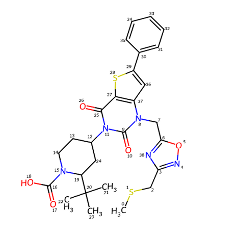 CSCc1noc(Cn2c(=O)n(C3CCN(C(=O)O)C(C(C)(C)C)C3)c(=O)c3sc(-c4ccccc4)cc32)n1